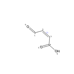 O=I/C=C\C(=O)O